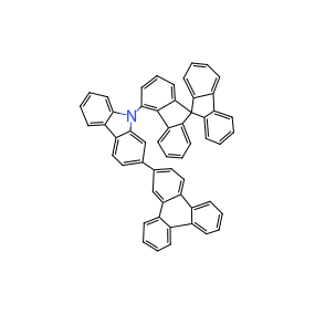 c1ccc2c(c1)-c1ccccc1C21c2ccccc2-c2c(-n3c4ccccc4c4ccc(-c5ccc6c7ccccc7c7ccccc7c6c5)cc43)cccc21